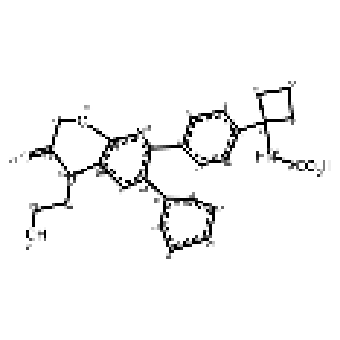 O=C(O)NC1(c2ccc(-c3nc4c(cc3-c3ccccc3)N(CCO)C(=O)CO4)cc2)CCC1